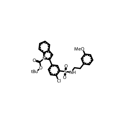 COc1cccc(CCNS(=O)(=O)c2cc(-c3cc4ccccc4n3C(=O)OC(C)(C)C)ccc2Cl)c1